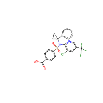 O=C(O)c1ccc(S(=O)(=O)N(c2ncc(C(F)(F)F)cc2Cl)C2(c3ccccc3)CC2)cc1